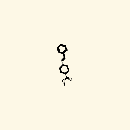 COC(=O)[C@H]1CC[C@H](/C=C/c2ccccc2)CC1